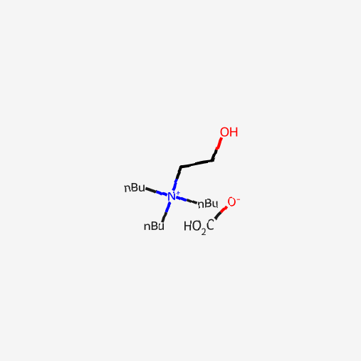 CCCC[N+](CCO)(CCCC)CCCC.O=C([O-])O